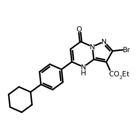 CCOC(=O)c1c(Br)nn2c(=O)cc(-c3ccc(C4CCCCC4)cc3)[nH]c12